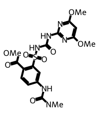 CNC(=O)Nc1ccc(C(=O)OC)c(S(=O)(=O)NC(=O)Nc2nc(OC)cc(OC)n2)c1